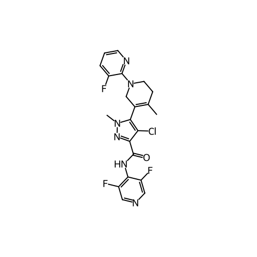 CC1=C(c2c(Cl)c(C(=O)Nc3c(F)cncc3F)nn2C)CN(c2ncccc2F)CC1